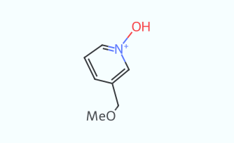 COCc1ccc[n+](O)c1